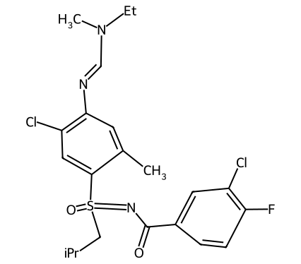 CCN(C)C=Nc1cc(C)c(S(=O)(CC(C)C)=NC(=O)c2ccc(F)c(Cl)c2)cc1Cl